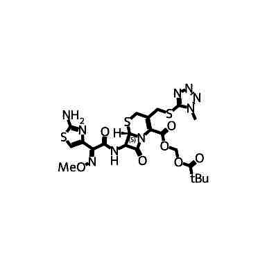 CON=C(C(=O)NC1C(=O)N2C(C(=O)OCOC(=O)C(C)(C)C)=C(CSc3nnnn3C)CS[C@@H]12)c1csc(N)n1